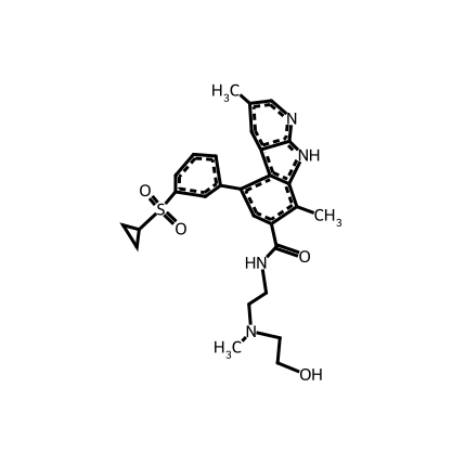 Cc1cnc2[nH]c3c(C)c(C(=O)NCCN(C)CCO)cc(-c4cccc(S(=O)(=O)C5CC5)c4)c3c2c1